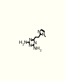 Cn1ccnc1CCc1nc(N)nc(N)n1